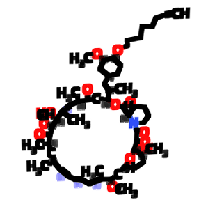 C#CCCCCCCO[C@@H]1CC[C@@H](C[C@@H](C)[C@@H]2CC(=O)[C@H](C)/C=C(\C)[C@@H](O)[C@@H](OC)C(=O)[C@H](C)C[C@H](C)/C=C/C=C/C=C(\C)[C@@H](OC)C[C@@H]3CC[C@@H](C)[C@@](O)(O3)C(=O)C(=O)N3CCCC[C@H]3C(=O)O2)C[C@H]1OC